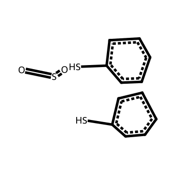 O=S=O.Sc1ccccc1.Sc1ccccc1